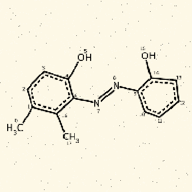 Cc1ccc(O)c(N=Nc2ccccc2O)c1C